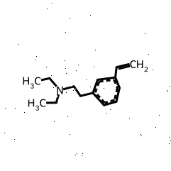 C=Cc1cccc(CCN(CC)CC)c1